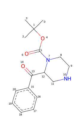 CC(C)(C)OC(=O)N1CCNCC1C(=O)c1ccccc1